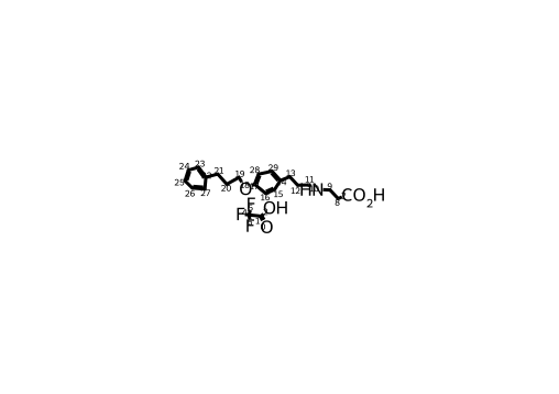 O=C(O)C(F)(F)F.O=C(O)CCNCCCc1ccc(OCCCc2ccccc2)cc1